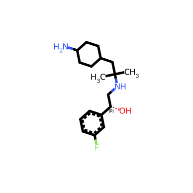 CC(C)(CC1CCC(N)CC1)NC[C@H](O)c1cccc(F)c1